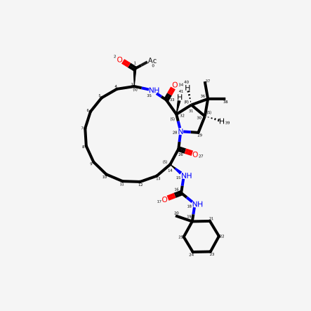 CC(=O)C(=O)[C@@H]1CCCCCCCCCC[C@H](NC(=O)NC2(C)CCCCC2)C(=O)N2C[C@H]3[C@@H]([C@H]2C(=O)N1)C3(C)C